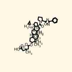 CC(C)(CC(=O)O)CC(=O)O[C@H]1CC[C@]2(C)[C@H]3CC[C@@H]4[C@H]5[C@H](C6(C)CC6)CC[C@]5(C(=O)N5CCCC5c5nc(-c6ccccc6)no5)CC[C@@]4(C)[C@]3(C)CC[C@H]2C1(C)C